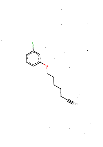 C#CCCCCCOc1cc[c]c(F)c1